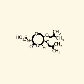 C=C(C)CO[C@@H]1[C@@H](OCC(=C)C)COC[C@H](NC(=O)O)C(=O)O[C@H]1CC